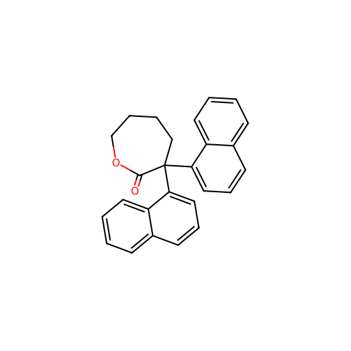 O=C1OCCCCC1(c1cccc2ccccc12)c1cccc2ccccc12